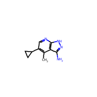 Cc1c(C2CC2)cnc2[nH]nc(N)c12